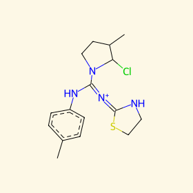 Cc1ccc(NC(=[N+]=C2NCCS2)N2CCC(C)C2Cl)cc1